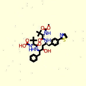 COC(=O)N[C@H](C(=O)N[C@@H](Cc1ccc(-c2nccs2)cc1)CC(O)C(Cc1ccccc1)NC(=O)[C@@H](NC(=O)O)C(C)(C)C)C(C)(C)C